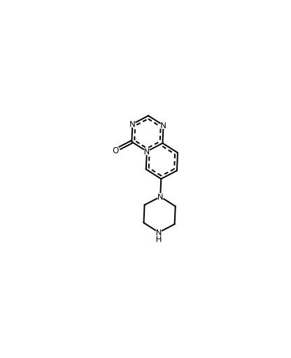 O=c1ncnc2ccc(N3CCNCC3)cn12